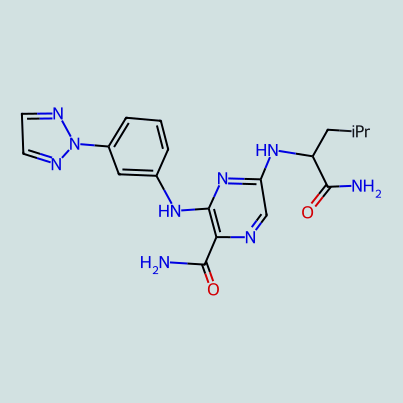 CC(C)CC(Nc1cnc(C(N)=O)c(Nc2cccc(-n3nccn3)c2)n1)C(N)=O